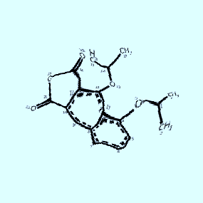 CC(C)Oc1cccc2cc3c(c(OC(C)C)c12)C(=O)OC3=O